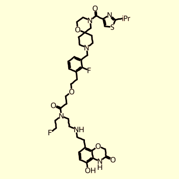 CC(C)c1nc(C(=O)N2CCOC3(CCN(Cc4cccc(CCOCCC(=O)N(CCF)CCNCCc5ccc(O)c6c5OCC(=O)N6)c4F)CC3)C2)cs1